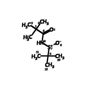 CC(C)(C)C(=O)N[S@+]([O-])C(C)(C)C